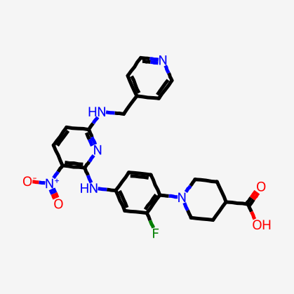 O=C(O)C1CCN(c2ccc(Nc3nc(NCc4ccncc4)ccc3[N+](=O)[O-])cc2F)CC1